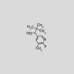 Cc1cc(C(O)C(C)(C)C)cnc1F